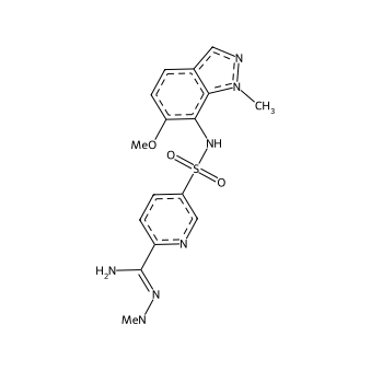 CNN=C(N)c1ccc(S(=O)(=O)Nc2c(OC)ccc3cnn(C)c23)cn1